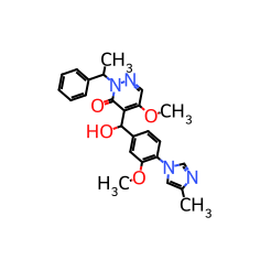 COc1cc(C(O)c2c(OC)cnn(C(C)c3ccccc3)c2=O)ccc1-n1cnc(C)c1